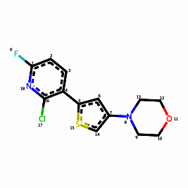 Fc1ccc(-c2cc(N3CCOCC3)cs2)c(Cl)n1